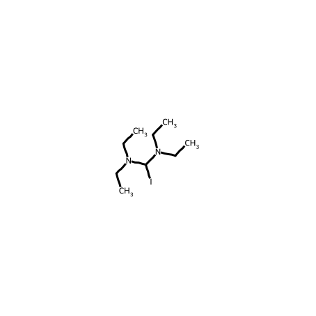 CCN(CC)C(I)N(CC)CC